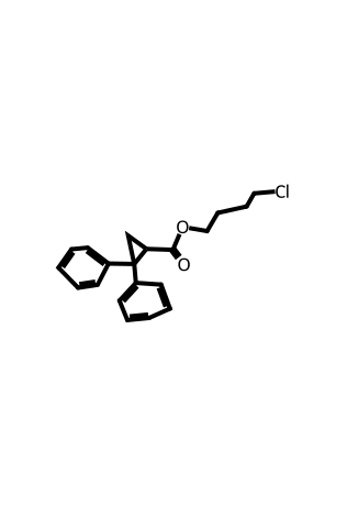 O=C(OCCCCCl)C1CC1(c1ccccc1)c1ccccc1